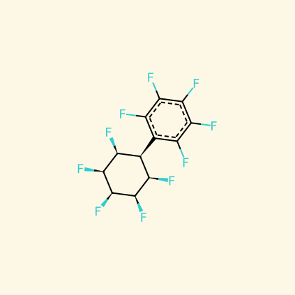 Fc1c(F)c(F)c([C@@H]2[C@H](F)[C@H](F)[C@H](F)[C@H](F)[C@@H]2F)c(F)c1F